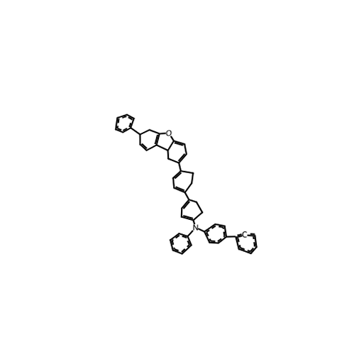 C1=CC(c2ccccc2)CC2=C1C1CC(C3=CC=C(C4=CC=C(N(c5ccccc5)c5ccc(-c6ccccc6)cc5)CC4)CC3)=CC=C1O2